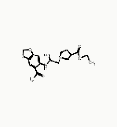 CCOC(=O)C1CCN(CC(O)Nc2cc3c(cc2C(C)=O)OCO3)C1